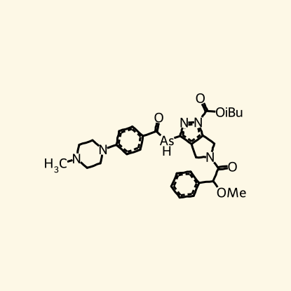 COC(C(=O)N1Cc2c([AsH]C(=O)c3ccc(N4CCN(C)CC4)cc3)nn(C(=O)OCC(C)C)c2C1)c1ccccc1